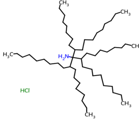 CCCCCCCCCC(CCCCCCCC)C(N)(C(CCCCCCCC)CCCCCCCCC)C(CCCCCCCC)CCCCCCCCC.Cl